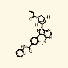 C=CC(=O)N1C[C@H]2CC(n3nc(-c4ccc(C(=O)Nc5ccccn5)cc4)c4c(N)ncnc43)[C@H]1C2